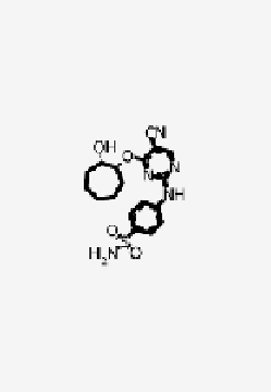 N#Cc1cnc(Nc2ccc(S(N)(=O)=O)cc2)nc1O[C@@H]1CCCCC[C@@H]1O